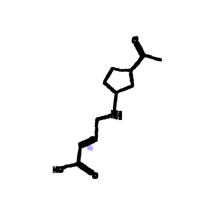 CC(=O)C1CCC(NC/C=C/C(=O)O)C1